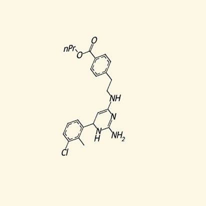 CCCOC(=O)c1ccc(CCNC2=CC(c3cccc(Cl)c3C)NC(N)=N2)cc1